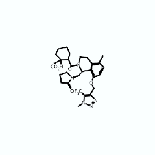 Cc1ccc(OCc2nnn(C)c2C(F)(F)F)c2c1CCN(C(=O)C1CCCCC1(C)C(=O)O)[C@@H]2CN1CCCC1=O